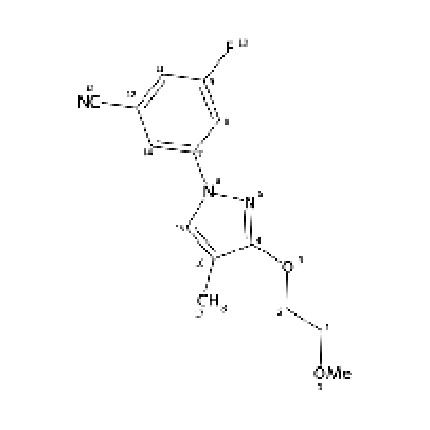 COCCOc1nn(-c2cc(F)cc(C#N)c2)cc1C